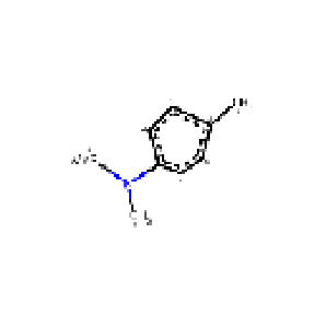 CSN(C)c1ccc(C)cc1